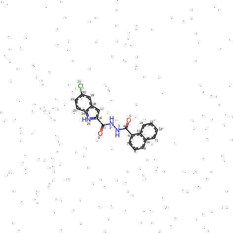 O=C(NNC(=O)c1cccc2ccccc12)c1cc2cc(Cl)ccc2[nH]1